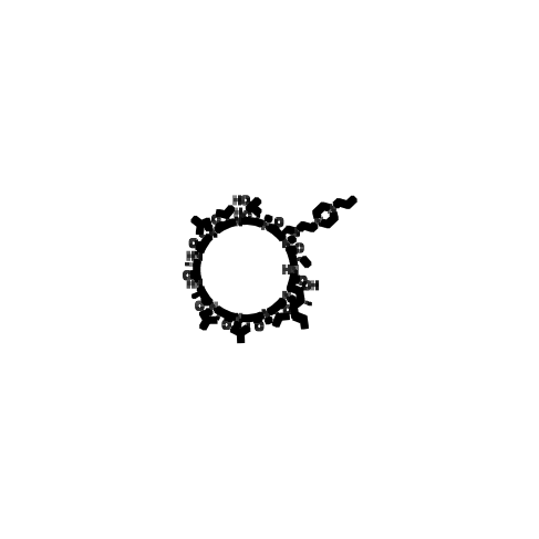 C/C=C/C[C@@H](C)[C@@H](O)[C@H]1C(=O)N[C@@H](CC)C(=O)N(C)[C@H](CSCCN2CCN(CCC)CC2)C(=O)N(C)[C@@H](CC(C)(C)O)C(=O)N[C@@H](C(C)C)C(=O)N(C)[C@@H](CC(C)C)C(=O)N[C@@H](C)C(=O)N[C@H](C)C(=O)N(C)[C@@H](CC(C)C)C(=O)N(C)[C@@H](CC(C)C)C(=O)N(C)[C@@H](C(C)C)C(=O)N1C